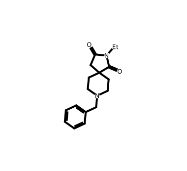 CCN1C(=O)CC2(CCN(Cc3ccccc3)CC2)C1=O